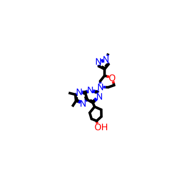 Cc1nc2nc(N3CCOC(c4cnn(C)c4)C3)nc(C3CCC(O)CC3)c2nc1C